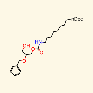 CCCCCCCCCCCCCCCCCCNC(=O)OCC(CO)OCc1ccccc1